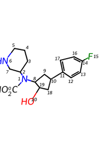 O=C(O)N(C1CCCNC1)C1CC(c2ccc(F)cc2)CC1O